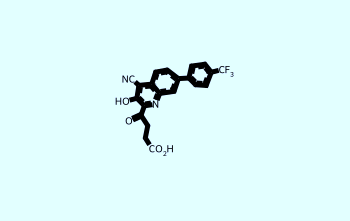 N#Cc1c(O)c(C(=O)CCC(=O)O)nc2cc(-c3ccc(C(F)(F)F)cc3)ccc12